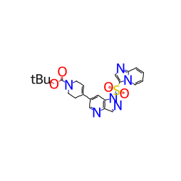 CC(C)(C)OC(=O)N1CC=C(c2cnc3cnn(S(=O)(=O)c4cnc5ccccn45)c3c2)CC1